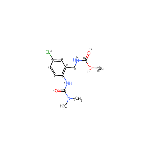 CN(C)C(=O)Nc1ccc(Cl)cc1CNC(=O)OC(C)(C)C